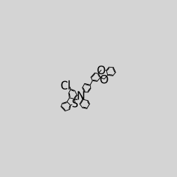 Clc1cc(N(c2ccccc2)c2ccc(-c3ccc4c(c3)Oc3ccccc3O4)cc2)c2sc3ccccc3c2c1